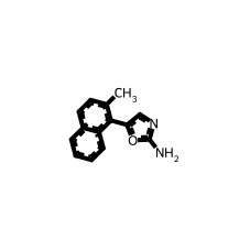 Cc1ccc2ccccc2c1-c1cnc(N)o1